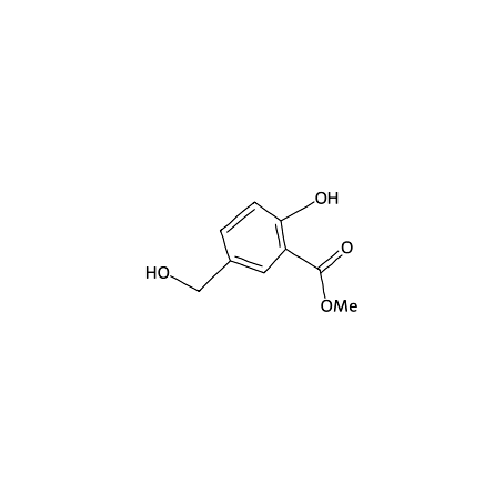 COC(=O)c1cc(CO)ccc1O